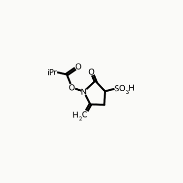 C=C1CC(S(=O)(=O)O)C(=O)N1OC(=O)C(C)C